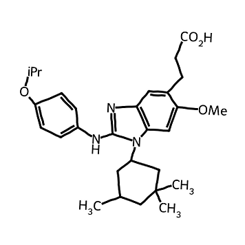 COc1cc2c(cc1CCC(=O)O)nc(Nc1ccc(OC(C)C)cc1)n2C1CC(C)CC(C)(C)C1